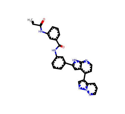 C=CC(=O)Nc1cccc(C(=O)Nc2cccc(-c3cc4c(-c5cnn6ncccc56)ccnc4[nH]3)c2)c1